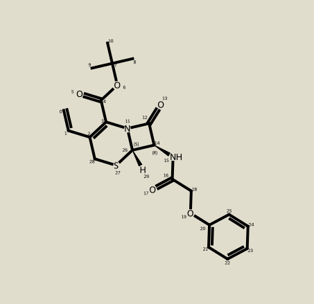 C=CC1=C(C(=O)OC(C)(C)C)N2C(=O)[C@@H](NC(=O)COc3ccccc3)[C@@H]2SC1